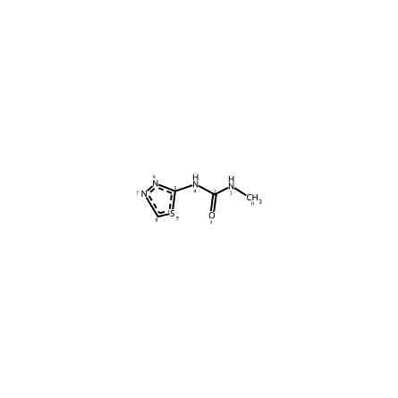 CNC(=O)Nc1nn[c]s1